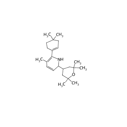 CC1=C(C2=CCC(C)(C)CC2)NC(C2CC(C)(C)OC(C)(C)C2)C=C1